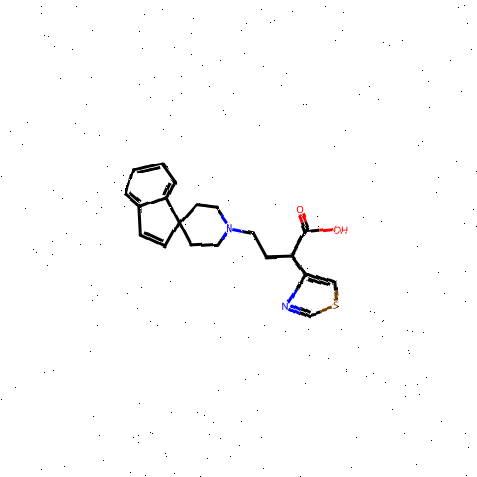 O=C(O)C(CCN1CCC2(C=Cc3ccccc32)CC1)c1cscn1